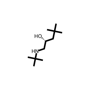 CC(C)(C)C[C@@H](O)CNC(C)(C)C